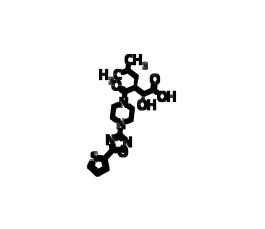 CC(C)C[C@H](C(=O)N1CCN(c2noc(-c3cccs3)n2)CC1)[C@@H](O)C(=O)O